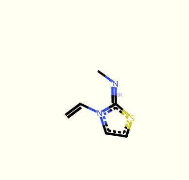 C=Cn1ccs/c1=N/C